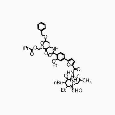 C=C(C)CON(C=O)[C@H](CC)[C@@H](CCCC)C(=O)NCNC(=O)c1ccc(-c2ccc(C(=O)N[C@@H](CC(=O)OCc3ccccc3)C(=O)OCOC(=O)C(C)C)c(OCC)c2)o1